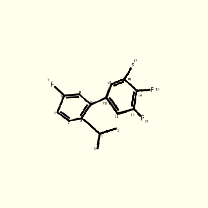 CC(C)c1ccc(F)cc1-c1cc(F)c(F)c(F)c1